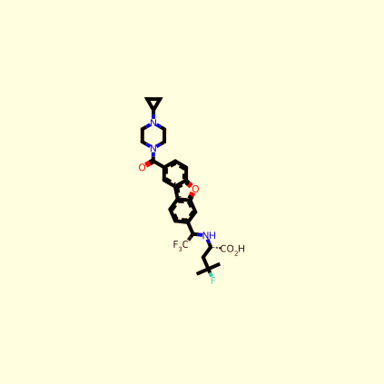 CC(C)(F)C[C@H](NC(c1ccc2c(c1)oc1ccc(C(=O)N3CCN(C4CC4)CC3)cc12)C(F)(F)F)C(=O)O